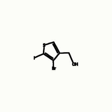 OCc1csc(I)c1Br